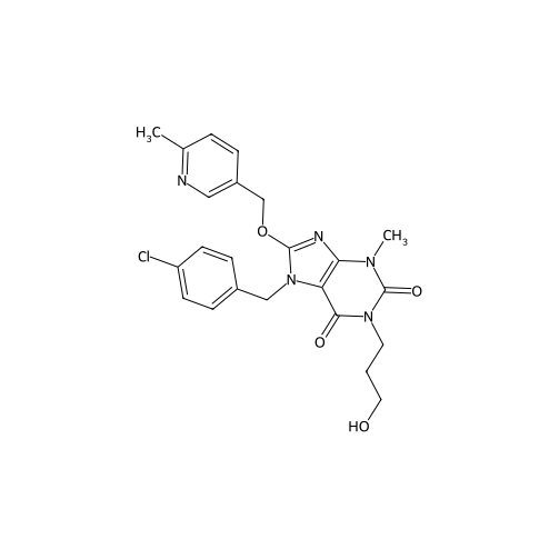 Cc1ccc(COc2nc3c(c(=O)n(CCCO)c(=O)n3C)n2Cc2ccc(Cl)cc2)cn1